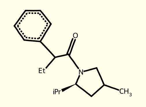 CCC(C(=O)N1CC(C)C[C@H]1C(C)C)c1ccccc1